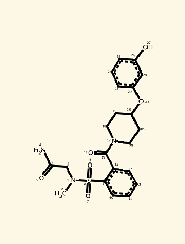 CN(CC(N)=O)S(=O)(=O)c1ccccc1C(=O)N1CCC(Oc2cccc(O)c2)CC1